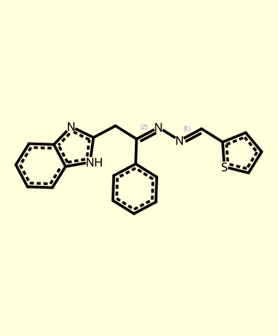 C(=N\N=C(\Cc1nc2ccccc2[nH]1)c1ccccc1)/c1cccs1